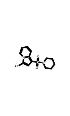 CC(C)c1cc(S(=O)(=O)N2CCCCC2)c2ccccn12